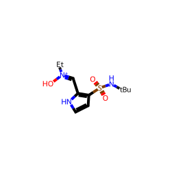 CC[N+](O)=Cc1[nH]ccc1S(=O)(=O)NC(C)(C)C